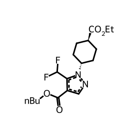 CCCCOC(=O)c1cnn([C@H]2CC[C@H](C(=O)OCC)CC2)c1C(F)F